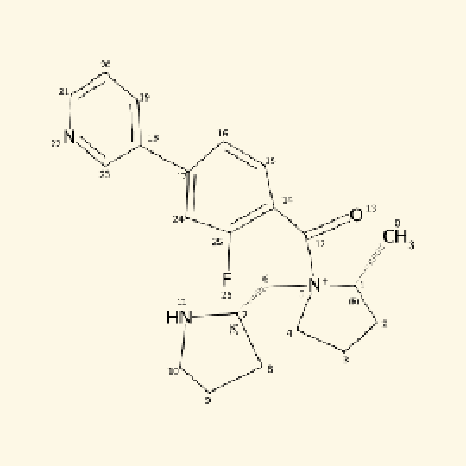 C[C@@H]1CCC[N+]1(C[C@@H]1CCCN1)C(=O)c1ccc(-c2cccnc2)cc1F